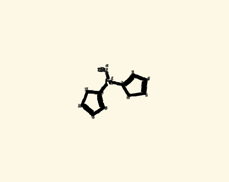 C[C](C)(C)[Fe]([C]1=CC=CC1)[C]1=CC=CC1